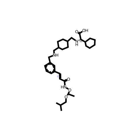 CC(C)COC(C)ONC(=O)/C=C/c1cccc(CNCC2CCC(CN[C@H](C(=O)O)C3CCCCC3)CC2)c1